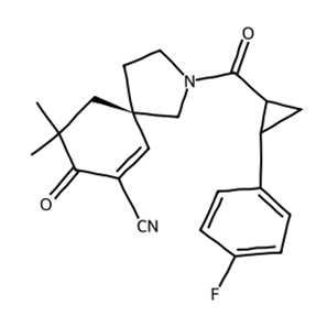 CC1(C)C[C@@]2(C=C(C#N)C1=O)CCN(C(=O)C1CC1c1ccc(F)cc1)C2